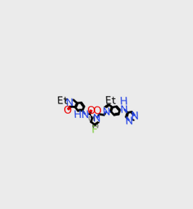 CCc1cn(CC(=O)N2C[C@H](F)C[C@H]2C(=O)Nc2ccc3c(c2)C(=O)N(CC)C3)c2ccc(Nc3cncnc3)cc12